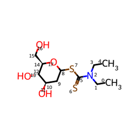 CCN(CC)C(=S)SC1C[C@@H](O)[C@H](O)[C@@H](CO)O1